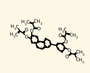 C=C(C)C(=O)Oc1ccc(-c2ccc3c(ccc4cc(OC(=O)C(=C)C)c(OC(=O)C(=C)C)cc43)c2)cc1OC(=O)C(=C)C